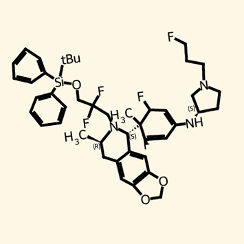 C[C@@H]1Cc2cc3c(cc2[C@@H](C2(C)C(F)=CC(N[C@H]4CCN(CCCF)C4)=CC2F)N1CC(F)(F)CO[Si](c1ccccc1)(c1ccccc1)C(C)(C)C)OCO3